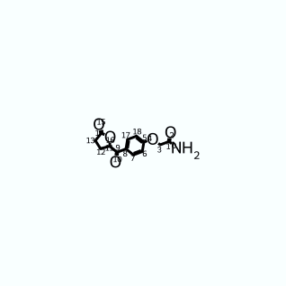 NC(=O)COc1ccc(C(=O)C2CCC(=O)O2)cc1